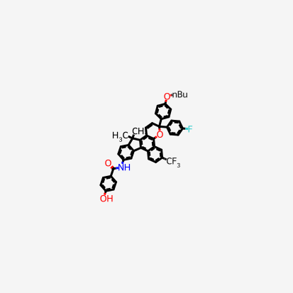 CCCCOc1ccc(C2(c3ccc(F)cc3)C=Cc3c4c(c5ccc(C(F)(F)F)cc5c3O2)-c2cc(NC(=O)c3ccc(O)cc3)ccc2C4(C)C)cc1